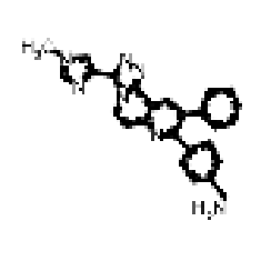 Cn1cnc(-c2nnc3c4cc(-c5ccccc5)c(-c5ccc(CN)cc5)nc4ccn23)c1